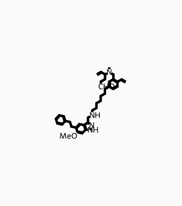 C=Cc1ccc(CCCCCCCNCc2n[nH]c3cc(OC)c(CCc4ccccc4)cc23)cc1CN(C)C(C=C)CCC=O